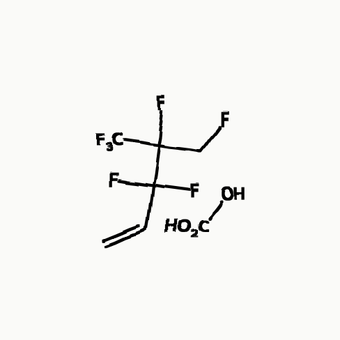 C=CC(F)(F)C(F)(CF)C(F)(F)F.O=C(O)O